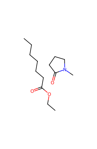 CCCCCCC(=O)OCC.CN1CCCC1=O